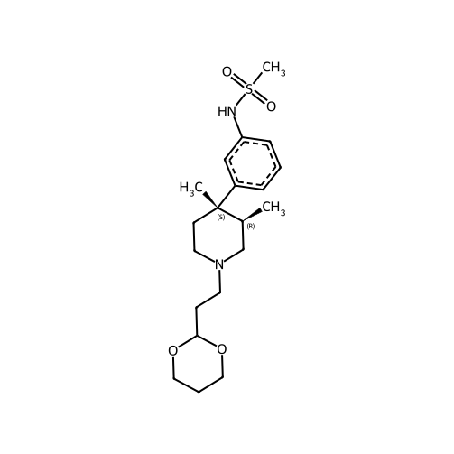 C[C@H]1CN(CCC2OCCCO2)CC[C@]1(C)c1cccc(NS(C)(=O)=O)c1